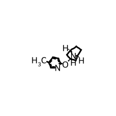 Cc1ccc(O[C@H]2C[C@H]3CC[C@@H](C2)N3)nc1